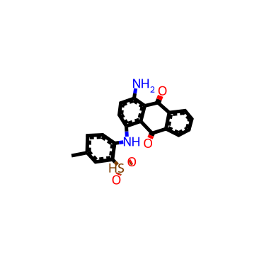 Cc1ccc(Nc2ccc(N)c3c2C(=O)c2ccccc2C3=O)c([SH](=O)=O)c1